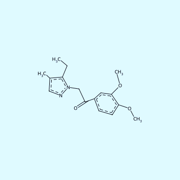 CCc1c(C)cnn1CC(=O)c1ccc(OC)c(OC)c1